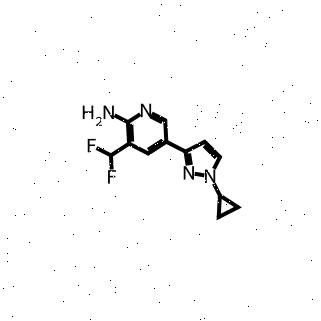 Nc1ncc(-c2ccn(C3CC3)n2)cc1C(F)F